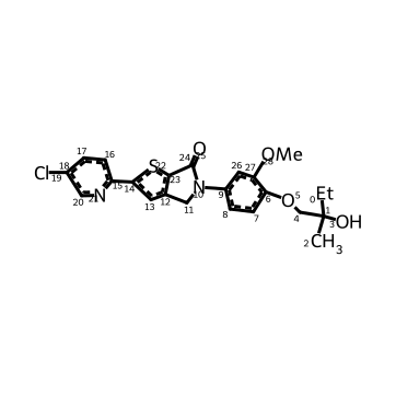 CCC(C)(O)COc1ccc(N2Cc3cc(-c4ccc(Cl)cn4)sc3C2=O)cc1OC